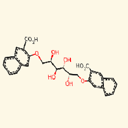 O=C(O)c1cc2ccccc2cc1OC[C@@H](O)[C@H](O)[C@H](O)[C@@H](O)COc1cc2ccccc2cc1C(=O)O